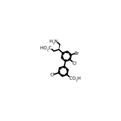 NC[C@H](CC(=O)O)c1cc(Br)c(Cl)c(-c2cc(Cl)cc(C(=O)O)c2)c1